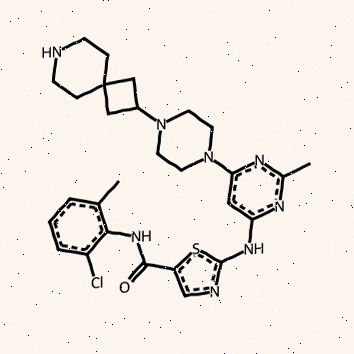 Cc1nc(Nc2ncc(C(=O)Nc3c(C)cccc3Cl)s2)cc(N2CCN(C3CC4(CCNCC4)C3)CC2)n1